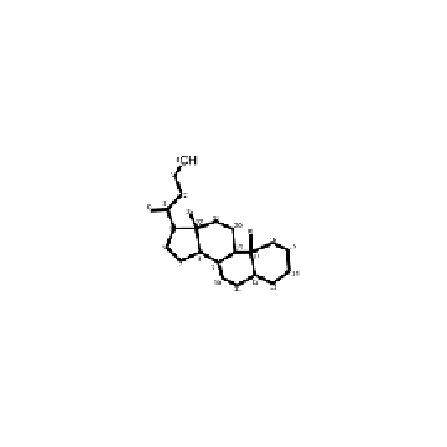 CC(CCO)C1CCC2C3CCC4CCCCC4(C)C3CCC12C